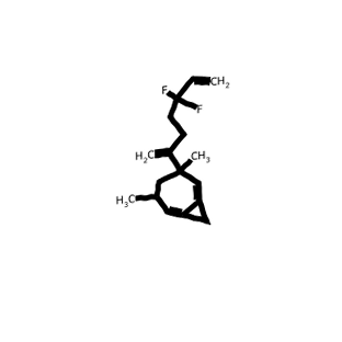 C=CC(F)(F)CCC(=C)C1(C)C=C2CC2=CC(C)C1